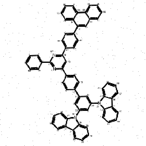 c1ccc(-c2nc(-c3ccc(-c4cc(-n5c6ccccc6c6ccccc65)cc(-n5c6ccccc6c6ccccc65)c4)cc3)cc(-c3ccc(-c4cc5ccccc5c5ccccc45)cc3)n2)cc1